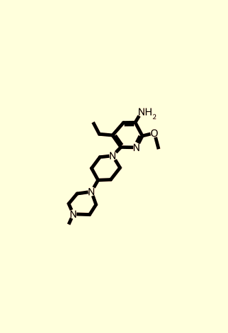 CCc1cc(N)c(OC)nc1N1CCC(N2CCN(C)CC2)CC1